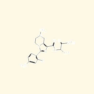 CNC(=O)C(NC(=O)c1nc(-c2ccc(C)cc2F)n2c1CN(C)CC2)C(C)(C)C